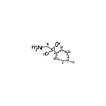 Cc1ccc(S(=O)(=O)[CH]N)cc1